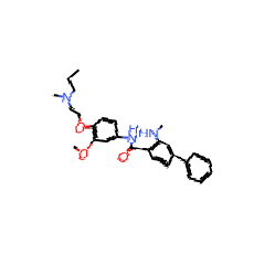 CCCN(C)CCOc1ccc(NC(=O)c2ccc(-c3ccccc3)cc2NC)cc1OC